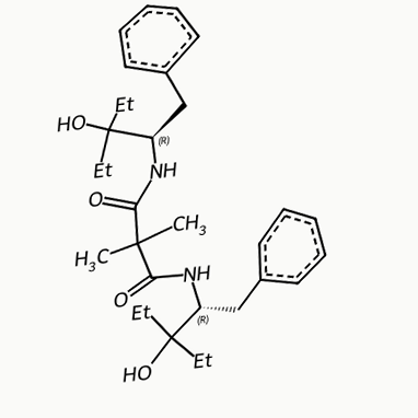 CCC(O)(CC)[C@@H](Cc1ccccc1)NC(=O)C(C)(C)C(=O)N[C@H](Cc1ccccc1)C(O)(CC)CC